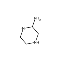 NC1CNCC[N]1